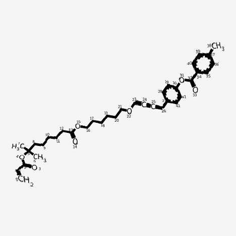 C=CC(=O)OC(C)(C)CCCCCC(=O)OCCCCCCOC=C=C=Cc1ccc(OC(=O)c2ccc(C)cc2)cc1